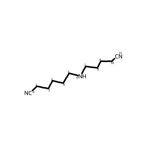 N#CCCCCCNCCCCC#N